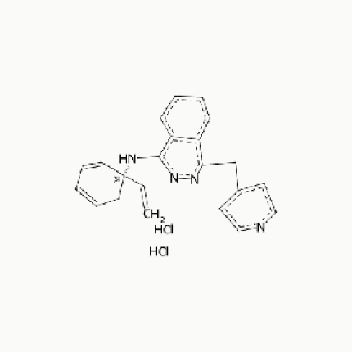 C=C[C@]1(Nc2nnc(Cc3ccncc3)c3ccccc23)C=CC=CC1.Cl.Cl